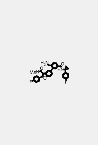 CNC(=O)c1c(-c2ccc(F)cc2)oc2ccc(-c3cc(C(=O)NC4(c5ccc(F)cc5)CC4)ccc3CN)cc12